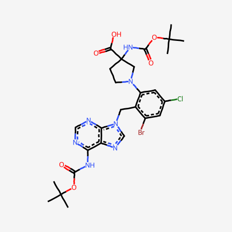 CC(C)(C)OC(=O)Nc1ncnc2c1ncn2Cc1c(Br)cc(Cl)cc1N1CCC(NC(=O)OC(C)(C)C)(C(=O)O)C1